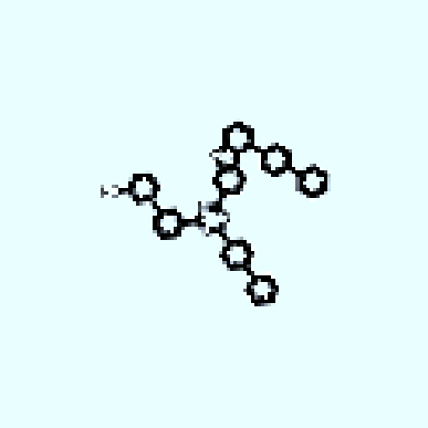 N#Cc1cccc(-c2cccc(-c3nc(-c4ccc(-c5ccccc5)cc4)nc(-c4ccc5c(c4)oc4cccc(-c6ccc(-c7ccccc7)cc6)c45)n3)c2)c1